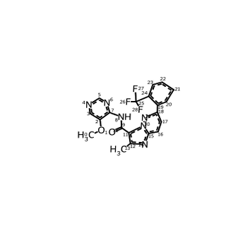 COc1cncnc1NC(=O)c1c(C)nc2ccc(-c3ccccc3C(F)(F)F)nn12